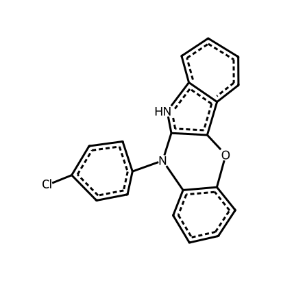 Clc1ccc(N2c3ccccc3Oc3c2[nH]c2ccccc32)cc1